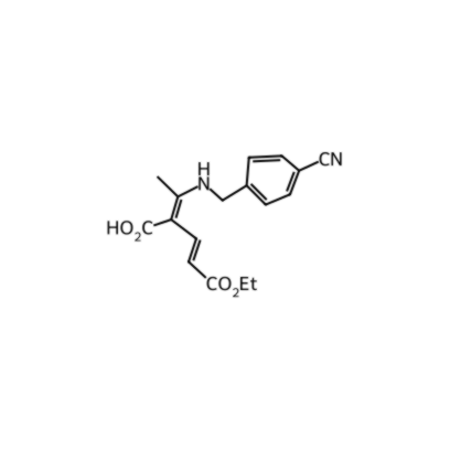 CCOC(=O)C=CC(C(=O)O)=C(C)NCc1ccc(C#N)cc1